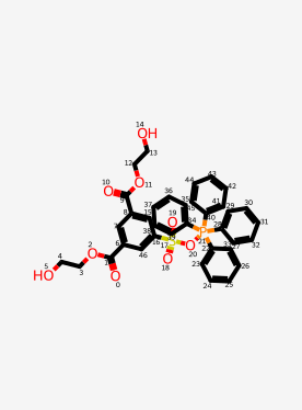 O=C(OCCO)c1cc(C(=O)OCCO)cc(S(=O)(=O)OP(c2ccccc2)(c2ccccc2)(c2ccccc2)c2ccccc2)c1